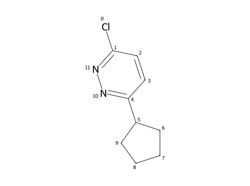 Clc1ccc(C2CCCC2)nn1